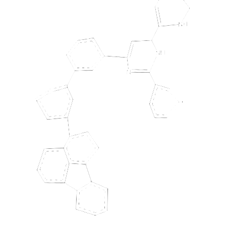 C1=CCNC(C2C=C(c3cccc(-c4cccc(-c5ccc6c7c(cccc57)-c5ccccc5-6)c4)c3)N=C(c3ccccc3)N2)=C1